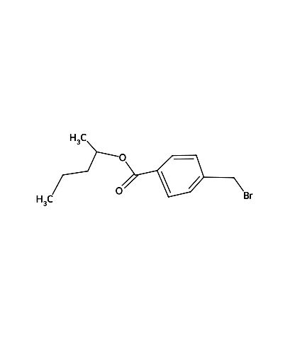 CCCC(C)OC(=O)c1ccc(CBr)cc1